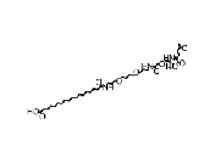 CC(=O)CC[C@H](NC(=O)COCC(=O)NCCCOCCCCOCCCNC(=O)CCCCCCCCCCCCCCCCC(=O)O)C(=O)O